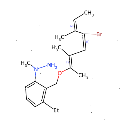 C\C=C(C)/C(Br)=C\C(C)=C(/C)OCc1c(CC)cccc1N(C)N